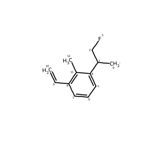 [CH2]C(CF)c1cccc(C=C)c1C